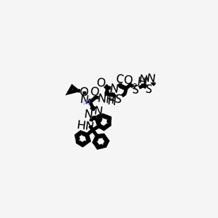 O=C(O)C1=C(CSc2nncs2)CS[C@@H]2[C@H](NC(=O)/C(=N\OC3CC3)c3nsc(NC(c4ccccc4)(c4ccccc4)c4ccccc4)n3)C(=O)N12